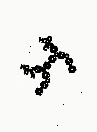 [C-]#[N+]/C(=C\c1ccc(N(c2ccc(Oc3ccc(-c4ccccc4)cc3)cc2)c2ccc(-c3ccc(N(c4ccc(/C=C(\C#N)C(=O)O)cc4)c4ccc(Oc5ccc(-c6ccccc6)cc5)cc4)cc3)cc2)cc1)C(=O)O